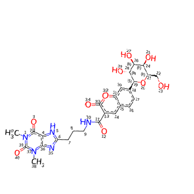 Cn1c(=O)c2[nH]c(CCCNC(=O)c3cc4ccc([C@@H]5O[C@H](CO)[C@H](O)[C@H](O)[C@H]5O)cc4oc3=O)nc2n(C)c1=O